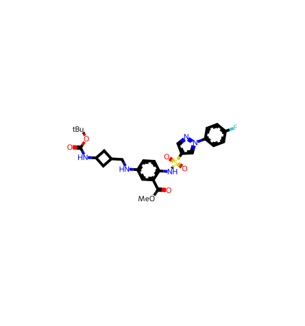 COC(=O)c1cc(NCC2CC(NC(=O)OC(C)(C)C)C2)ccc1NS(=O)(=O)c1cnn(-c2ccc(F)cc2)c1